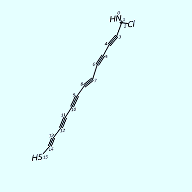 N=C(Cl)C#CC#CC#CC#CC#CC#CS